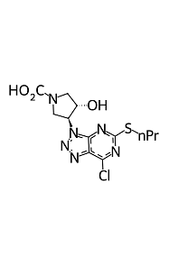 CCCSc1nc(Cl)c2nnn([C@H]3CN(C(=O)O)C[C@@H]3O)c2n1